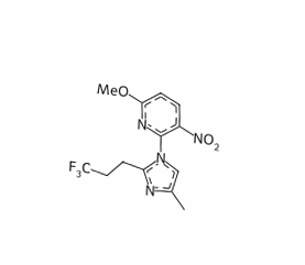 COc1ccc([N+](=O)[O-])c(-n2cc(C)nc2CCC(F)(F)F)n1